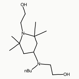 CCCCN(CCO)C1CC(C)(C)N(CCO)C(C)(C)C1